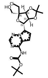 CC(C)(C)OC(=O)Nc1ncnn2c([C@@H]3O[C@@](CO)(CCl)[C@H]4OC(C)(C)O[C@@H]34)ccc12